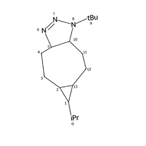 CC(C)C1C2CCC3N=NN(C(C)(C)C)C3CCC21